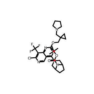 CC(C)(C)OC(=O)N1C2CCC1CN(c1nc(OCC3(CN4CCCC4)CC3)nc3c(C(F)(F)F)c(Cl)ncc13)C2